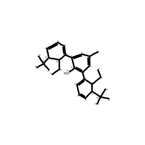 CCC1C(c2cc(C)cc(C3=CC=CC(C(C)(C)C)C3CC)c2O)=CC=CC1C(C)(C)C